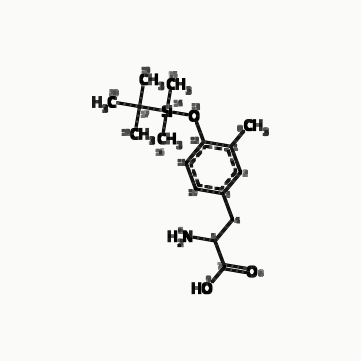 Cc1cc(CC(N)C(=O)O)ccc1O[Si](C)(C)C(C)(C)C